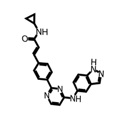 O=C(C=Cc1ccc(-c2nccc(Nc3ccc4[nH]ncc4c3)n2)cc1)NC1CC1